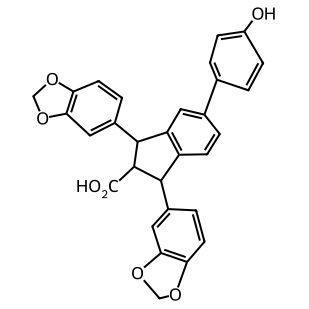 O=C(O)C1C(c2ccc3c(c2)OCO3)c2ccc(-c3ccc(O)cc3)cc2C1c1ccc2c(c1)OCO2